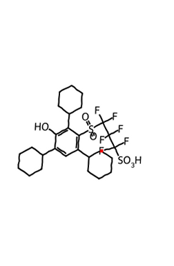 O=S(=O)(O)C(F)(F)C(F)(F)C(F)(F)S(=O)(=O)c1c(C2CCCCC2)cc(C2CCCCC2)c(O)c1C1CCCCC1